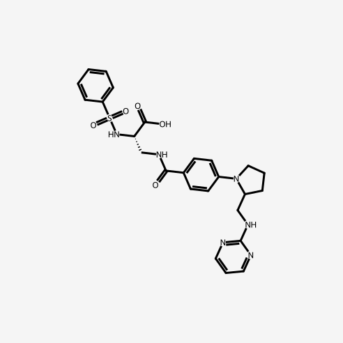 O=C(NC[C@H](NS(=O)(=O)c1ccccc1)C(=O)O)c1ccc(N2CCCC2CNc2ncccn2)cc1